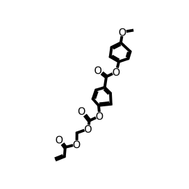 C=CC(=O)OCOC(=O)Oc1ccc(C(=O)Oc2ccc(OC)cc2)cc1